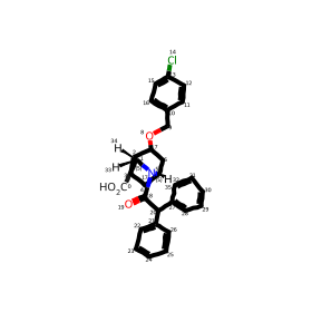 O=C(O)[C@@H]1[C@@H]2CC[C@@H](CC2OCc2ccc(Cl)cc2)N1C(=O)C(c1ccccc1)c1ccccc1